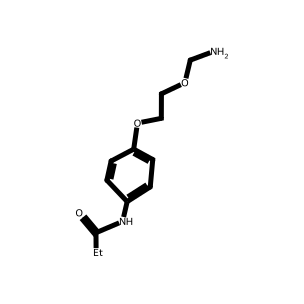 CCC(=O)Nc1ccc(OCCOCN)cc1